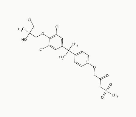 CC(C)(c1ccc(OCC(=O)CS(C)(=O)=O)cc1)c1cc(Cl)c(OC[C@@](C)(O)CCl)c(Cl)c1